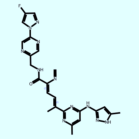 C=N/C(=C\C=C(/C)c1nc(C)cc(Nc2cc(C)[nH]n2)n1)C(=O)NCc1cnc(-n2cc(F)cn2)cn1